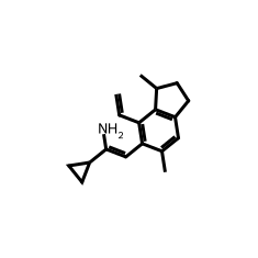 C=Cc1c(/C=C(\N)C2CC2)c(C)cc2c1C(C)CC2